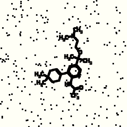 CN(C)CCOC(C)(C)c1ccc(NC(=O)C(F)(F)F)c(C2=CCC(C)(C)CC2)c1